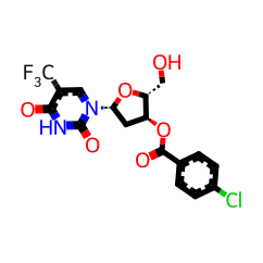 O=C(O[C@H]1C[C@H](n2cc(C(F)(F)F)c(=O)[nH]c2=O)O[C@@H]1CO)c1ccc(Cl)cc1